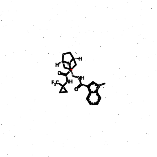 Cn1cc(C(=O)NC[C@@H]2C[C@H]3CC[C@@H](C2)N3CC(=O)NC2(C(F)(F)F)CC2)c2ccccc21